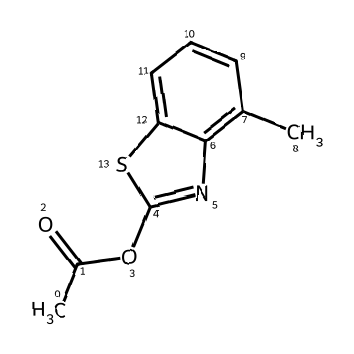 CC(=O)Oc1nc2c(C)cccc2s1